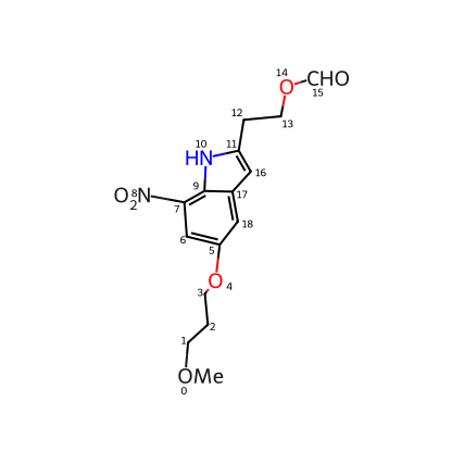 COCCCOc1cc([N+](=O)[O-])c2[nH]c(CCOC=O)cc2c1